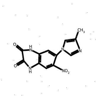 Cc1cn(-c2cc3[nH]c(=O)c(=O)[nH]c3cc2[N+](=O)[O-])cn1